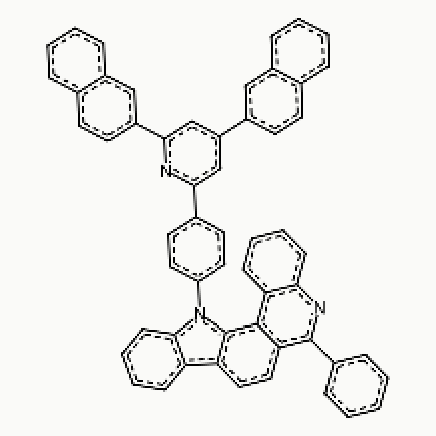 c1ccc(-c2nc3ccccc3c3c2ccc2c4ccccc4n(-c4ccc(-c5cc(-c6ccc7ccccc7c6)cc(-c6ccc7ccccc7c6)n5)cc4)c23)cc1